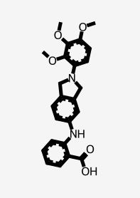 COc1ccc(N2Cc3ccc(Nc4ccccc4C(=O)O)cc3C2)c(OC)c1OC